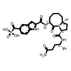 CC(C)[C@H](CCC(N)=O)NC(=O)[C@@H]1CC[C@@H]2CCCC[C@H](NC(=O)c3cc4cc(C(=O)P(=O)(O)O)ccc4[nH]3)C(=O)N21